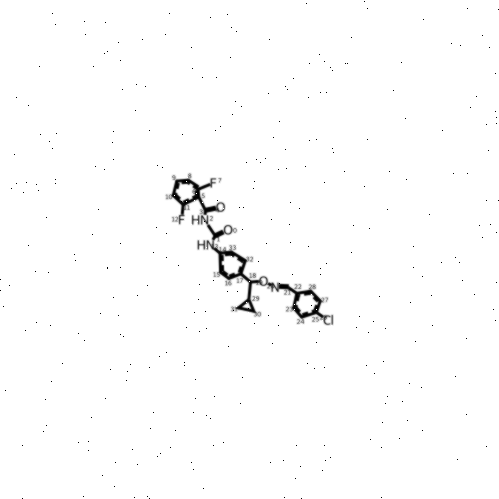 O=C(NC(=O)c1c(F)cccc1F)Nc1ccc(C(ON=Cc2ccc(Cl)cc2)C2CC2)cc1